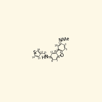 CNc1ccc2oc3ccc(NCc4ccsc4)cc3c2c1